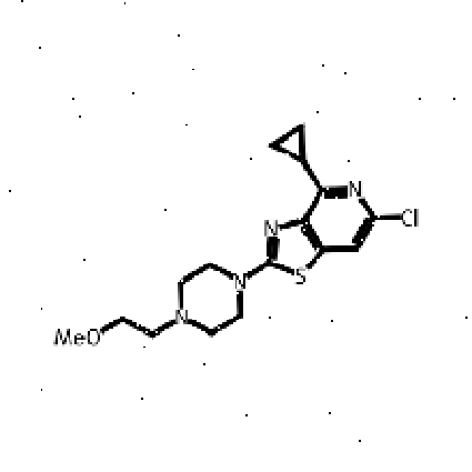 COCCN1CCN(c2nc3c(C4CC4)nc(Cl)cc3s2)CC1